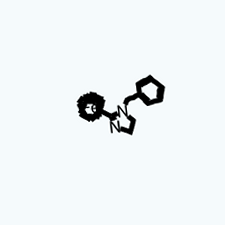 c1ccc(CN2CCN=C2[C]23[CH]4[CH]5[CH]6[CH]2[Fe]56432789[CH]3[CH]2[CH]7[CH]8[CH]39)cc1